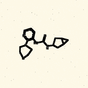 O=C(Nc1cccnc1N1CCOCC1)NC1CC2CC2C1